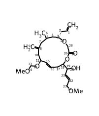 C=CC[C@H]1CC(C)CC(=C)CC(OCOC)/C=C/CC(C(O)/C=C/COC)OC(=O)CO1